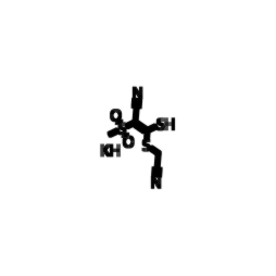 CS(=O)(=O)C(C#N)=C(S)SCC#N.[KH]